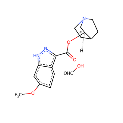 O=C(O[C@H]1CN2CCC1CC2)c1n[nH]c2cc(OC(F)(F)F)ccc12.O=CO